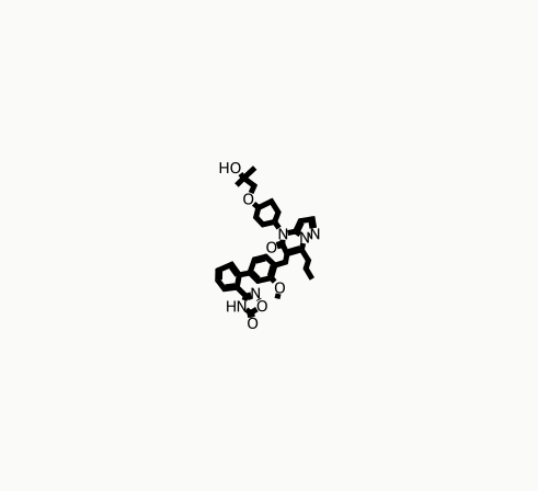 CCCc1c(Cc2ccc(-c3ccccc3-c3noc(=O)[nH]3)cc2OC)c(=O)n(C2CCC(OCC(C)(C)O)CC2)c2ccnn12